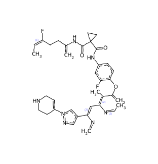 C=N\C(=C/C(/N=C\C)=C(\C)C(=C)Oc1ccc(NC(=O)C2(C(=O)NC(=C)CC/C(F)=C\C)CC2)cc1F)c1cnn(C2=CCNCC2)c1